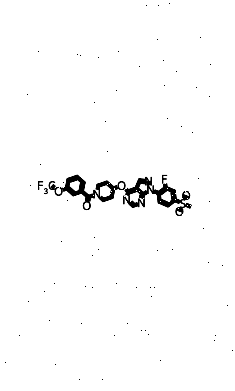 CS(=O)(=O)c1ccc(-n2ncc3c(OC4CCN(C(=O)c5cccc(OC(F)(F)F)c5)CC4)ncnc32)c(F)c1